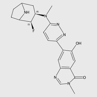 CN(c1ccc(-c2cc3ncn(C)c(=O)c3cc2O)nn1)[C@@H]1CC2CCC(N2)[C@@H]1F